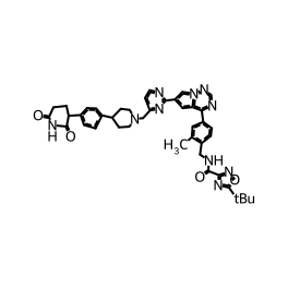 Cc1cc(-c2ncnn3cc(-c4nccc(CN5CCC(c6ccc(C7CCC(=O)NC7=O)cc6)CC5)n4)cc23)ccc1CNC(=O)c1noc(C(C)(C)C)n1